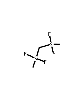 C[Si](F)(F)C[Si](C)(F)F